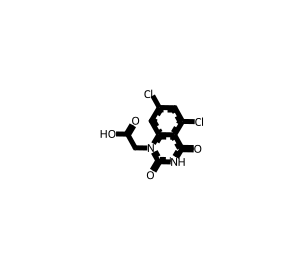 O=C(O)Cn1c(=O)[nH]c(=O)c2c(Cl)cc(Cl)cc21